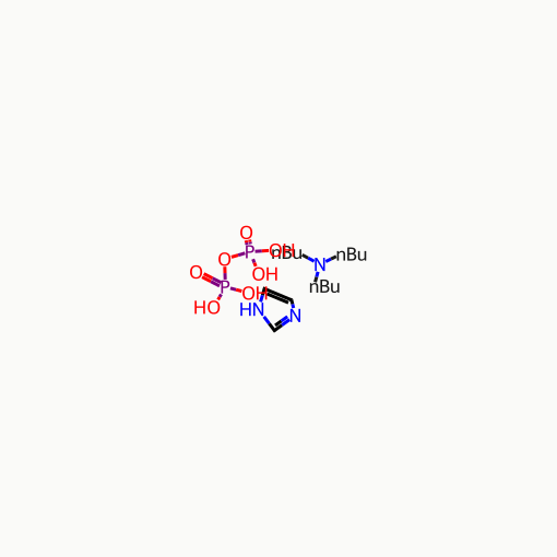 CCCCN(CCCC)CCCC.O=P(O)(O)OP(=O)(O)O.c1c[nH]cn1